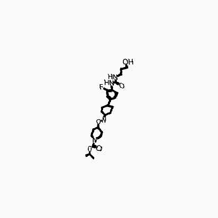 CC(C)OC(=O)N1CCC(ON=C2CCC(c3ccc(NC(=O)NCCCO)c(F)c3)CC2)CC1